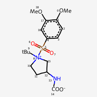 COc1ccc(S(=O)(=O)[N+]2(C(C)(C)C)CCC(NC(=O)[O-])C2)cc1OC